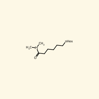 CCCCCCCCCCC[C](=O)[Pt]([CH3])[CH3]